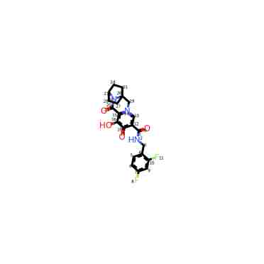 O=C(NCc1ccc(F)cc1F)c1cn2c(c(O)c1=O)C(=O)N1C3CCC1(CC3)C2